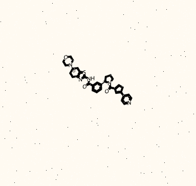 O=C(Nc1nc2c(s1)C[C@@H](N1CCOCC1)CC2)c1cccc([C@H]2CCCN2C(=O)C2=CCC(c3ccncc3)=C2)c1